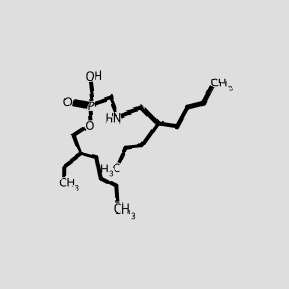 CCCCC(CCC)CNCP(=O)(O)OCC(CC)CCCC